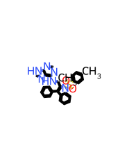 Cc1ccc(S(=O)(=O)n2c(C(C)Nc3ncnc4[nH]cnc34)c(-c3ccccc3)c3ccccc32)cc1